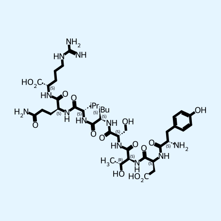 CC[C@H](C)[C@H](NC(=O)[C@H](CO)NC(=O)[C@@H](NC(=O)[C@H](CC(=O)O)NC(=O)[C@@H](N)Cc1ccc(O)cc1)[C@@H](C)O)C(=O)N[C@H](C(=O)N[C@@H](CCC(N)=O)C(=O)N[C@@H](CCCNC(=N)N)C(=O)O)C(C)C